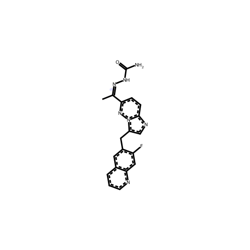 C/C(=N/NC(N)=O)c1ccc2ncc(Cc3cc4cccnc4cc3F)n2n1